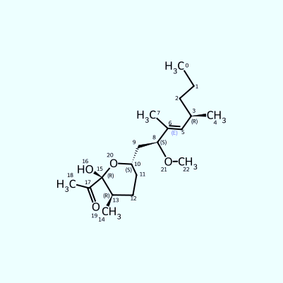 CCC[C@@H](C)/C=C(\C)[C@H](C[C@@H]1CC[C@@H](C)[C@](O)(C(C)=O)O1)OC